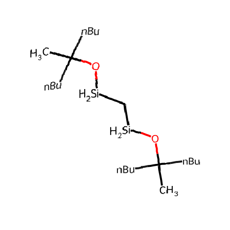 CCCCC(C)(CCCC)O[SiH2]C[SiH2]OC(C)(CCCC)CCCC